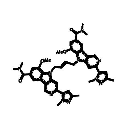 COc1cc(C(=O)N(C)C)cc2c3cnc(-c4cc(C)nn4C)cc3n(C/C=C/Cn3c4cc(-c5cc(C)nn5C)ncc4c4cc(C(=O)N(C)C)cc(OC)c43)c12